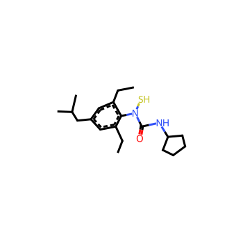 CCc1cc(CC(C)C)cc(CC)c1N(S)C(=O)NC1CCCC1